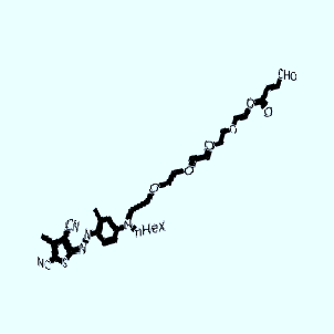 CCCCCCN(CCOCCOCCOCCOCCOC(=O)CCC=O)c1ccc(/N=N/c2sc(C#N)c(C)c2C#N)c(C)c1